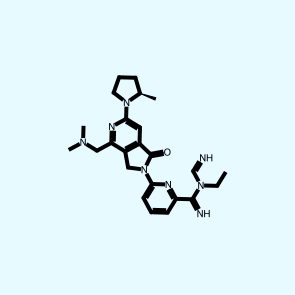 CCN(C=N)C(=N)c1cccc(N2Cc3c(cc(N4CCC[C@H]4C)nc3CN(C)C)C2=O)n1